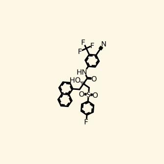 N#Cc1ccc(NC(=O)[C@](O)(Cc2cccc3ccccc23)CS(=O)(=O)c2ccc(F)cc2)cc1C(F)(F)F